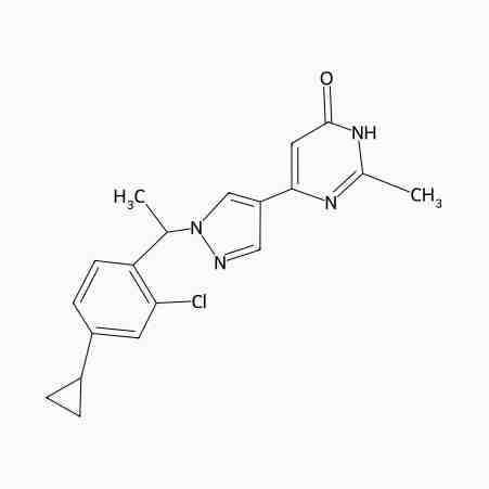 Cc1nc(-c2cnn(C(C)c3ccc(C4CC4)cc3Cl)c2)cc(=O)[nH]1